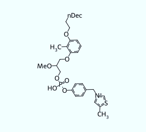 CCCCCCCCCCCCOc1cccc(OCC(COP(=O)(O)Oc2ccc(C[n+]3csc(C)c3)cc2)OC)c1C